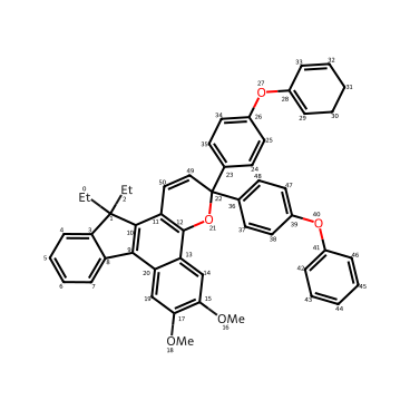 CCC1(CC)c2ccccc2-c2c1c1c(c3cc(OC)c(OC)cc23)OC(c2ccc(OC3=CCCC=C3)cc2)(c2ccc(Oc3ccccc3)cc2)C=C1